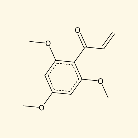 C=CC(=O)c1c(OC)cc(OC)cc1OC